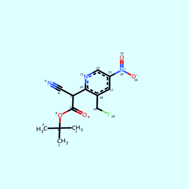 CC(C)(C)OC(=O)C(C#N)c1ncc([N+](=O)[O-])cc1CF